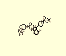 CC(C)(C)OC(=O)N1CCC(c2nn(CC(=O)N3CCO[C@H](C(F)(F)F)C3)c3cccc(F)c23)CC1